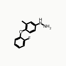 Cc1cc(NN)ccc1Oc1ccccc1F